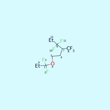 CCC(F)(F)OCCC(C(F)(F)F)C(F)(F)CC